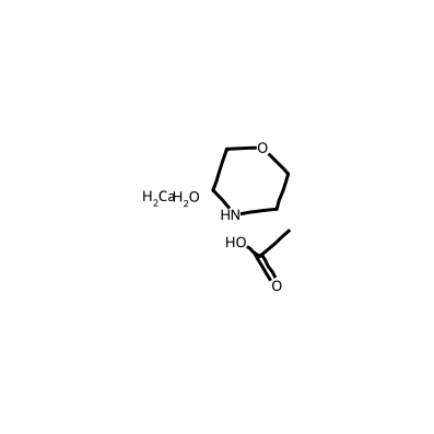 C1COCCN1.CC(=O)O.O.[CaH2]